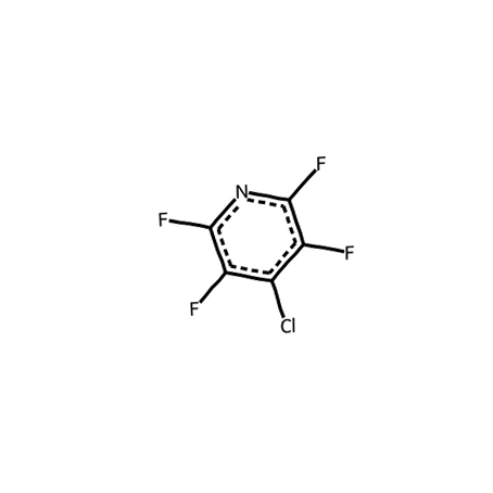 Fc1nc(F)c(F)c(Cl)c1F